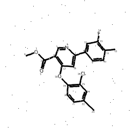 COC(=O)c1cnc(-c2ccc(C)c(F)c2)cc1Oc1ccc(C)cc1Cl